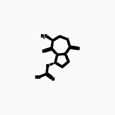 N[C@H]1CCC(=O)N2CC[C@H](OC(=O)O)N2C1=O